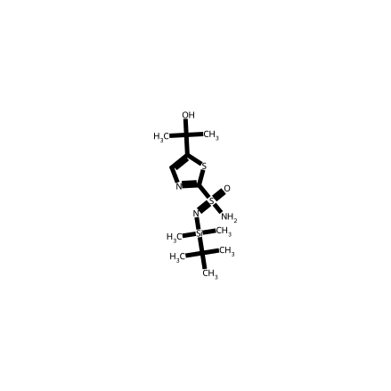 CC(C)(O)c1cnc(S(N)(=O)=N[Si](C)(C)C(C)(C)C)s1